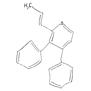 CC=Cc1bccc(-c2ccccc2)c1-c1ccccc1